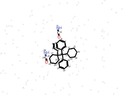 C=CCC1(C(c2ccccc2)(c2ccccc2)C2CCCCC2)CCCCC1.N=C=O.N=C=O